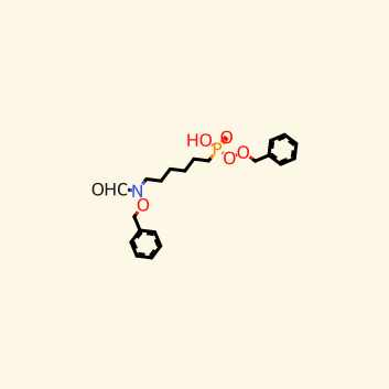 O=CN(CCCCCCP(=O)(O)OOCc1ccccc1)OCc1ccccc1